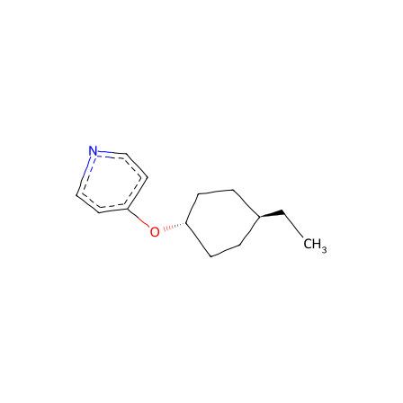 CC[C@H]1CC[C@H](Oc2ccncc2)CC1